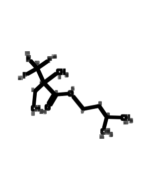 CCC(C)(C(=O)OCCC(C)C)C(F)(F)F